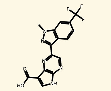 Cn1nc(-c2cnc3[nH]cc(C(=O)O)c3n2)c2ccc(C(F)(F)F)cc21